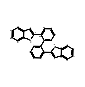 c1ccc(-c2ccccc2-c2cc3ccccc3o2)c(-c2cc3ccccc3o2)c1